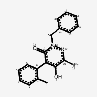 Cc1ccccc1-c1c(O)c(C(C)C)nn(Cc2ccccc2)c1=O